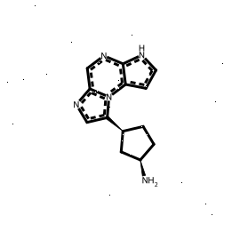 N[C@@H]1CC[C@H](c2cnc3cnc4[nH]ccc4n23)C1